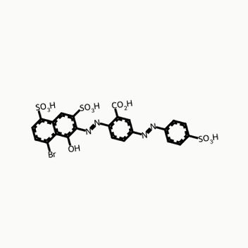 O=C(O)c1cc(/N=N/c2ccc(S(=O)(=O)O)cc2)ccc1/N=N/c1c(S(=O)(=O)O)cc2c(S(=O)(=O)O)ccc(Br)c2c1O